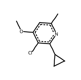 COc1cc(C)nc(C2CC2)c1Cl